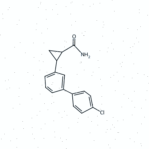 NC(=O)C1CC1c1cccc(-c2ccc(Cl)cc2)c1